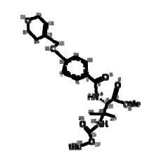 COC(=O)[C@@H](NC(=O)c1ccc(OCC2=CCOCC2)cc1)C(C)(C)NC(=O)OC(C)(C)C